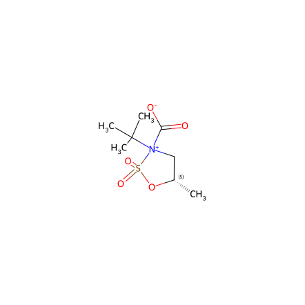 C[C@H]1C[N+](C(=O)[O-])(C(C)(C)C)S(=O)(=O)O1